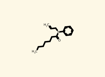 C=CCN(C(=O)CCCCCC)c1ccccc1